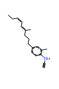 C#CNc1ccc(CCC/C(C)=C/C=C\CC)cc1C